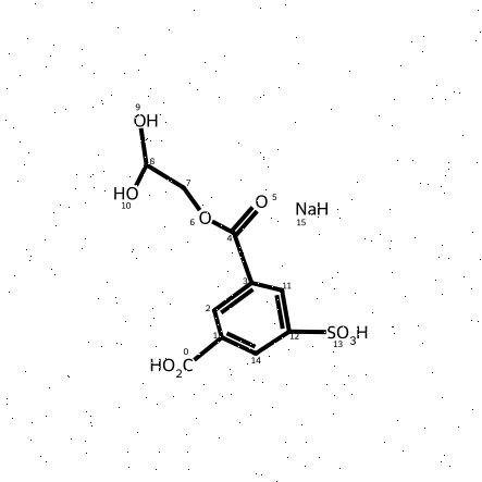 O=C(O)c1cc(C(=O)OCC(O)O)cc(S(=O)(=O)O)c1.[NaH]